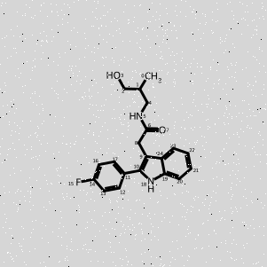 CC(CO)CNC(=O)Cc1c(-c2ccc(F)cc2)[nH]c2ccccc12